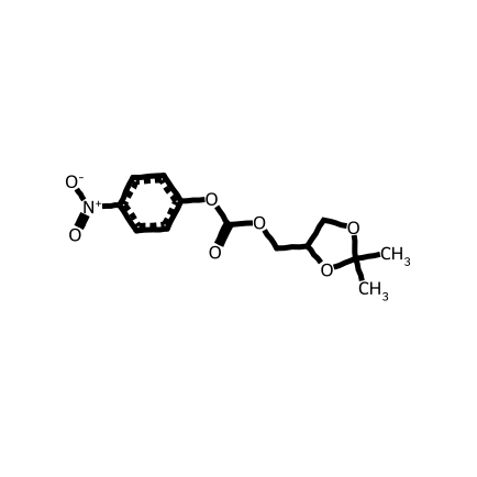 CC1(C)OCC(COC(=O)Oc2ccc([N+](=O)[O-])cc2)O1